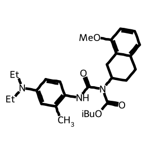 CCN(CC)c1ccc(NC(=O)N(C(=O)OCC(C)C)C2CCc3cccc(OC)c3C2)c(C)c1